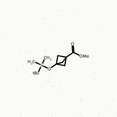 COC(=O)C12CC(O[Si](C)(C)C(C)(C)C)(C1)C2